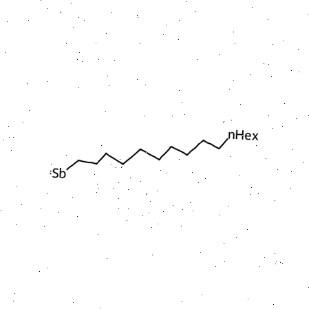 CCCCCCCCCCCCCCC[CH2][Sb]